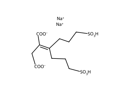 O=C([O-])CC(C(=O)[O-])=C(CCCS(=O)(=O)O)CCCS(=O)(=O)O.[Na+].[Na+]